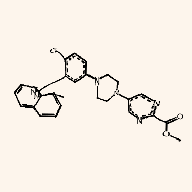 COC(=O)c1ncc(N2CCN(c3ccc(Cl)c(C4N=C5C=CC=C6C=CC=CC65N4C)c3)CC2)cn1